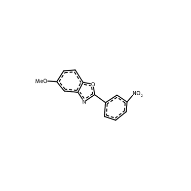 COc1ccc2oc(-c3cccc([N+](=O)[O-])c3)nc2c1